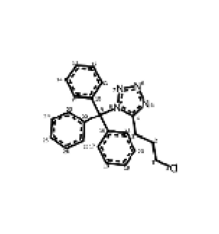 ClCCCc1nnnn1C(c1ccccc1)(c1ccccc1)c1ccccc1